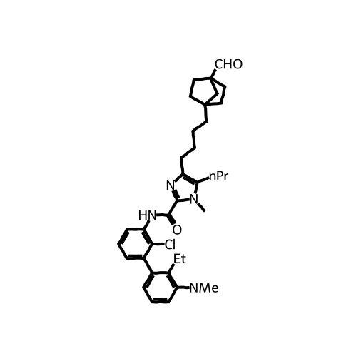 CCCc1c(CCCCC23CCC(C=O)(CC2)C3)nc(C(=O)Nc2cccc(-c3cccc(NC)c3CC)c2Cl)n1C